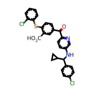 O=C(c1ccc(Sc2ccccc2Cl)c(C(=O)O)c1)c1ccc(NC(c2ccc(Cl)cc2)C2CC2)cn1